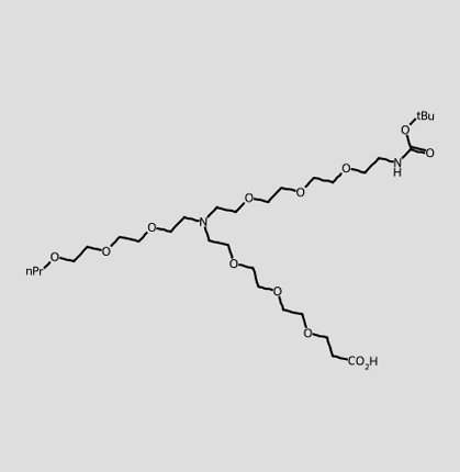 CCCOCCOCCOCCN(CCOCCOCCOCCNC(=O)OC(C)(C)C)CCOCCOCCOCCC(=O)O